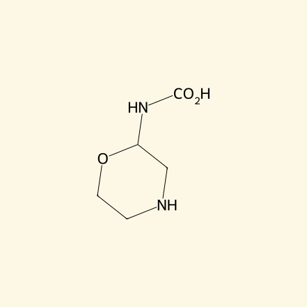 O=C(O)NC1CNCCO1